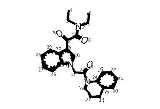 CCN(CC)C(=O)C(=O)c1cn(CC(=O)N2CCCc3ccccc32)c2ccccc12